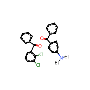 CCN(CC)c1ccc(C(=O)c2ccccc2)cc1.O=C(c1ccccc1)c1cccc(Cl)c1Cl